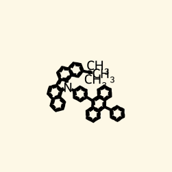 CC(C)(C)c1ccc2ccc3c4ccc5ccccc5c4n(-c4ccc(-c5c6ccccc6c(-c6ccccc6)c6ccccc56)cc4)c3c2c1